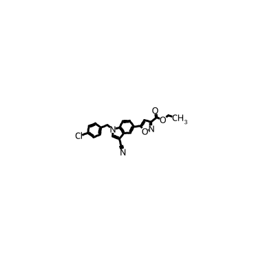 CCOC(=O)c1cc(-c2ccc3c(c2)c(C#N)cn3Cc2ccc(Cl)cc2)on1